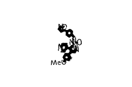 COc1ccc(-c2cnn3c(=O)n(Cc4ccc(-c5ccno5)cc4)nc3c2-c2ccncc2)cc1